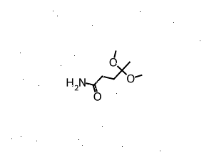 COC(C)(CCC(N)=O)OC